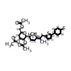 C=C(/C=C\C(C)=C(/C)Cc1ccc(-c2ccc(F)cc2)s1)[C@@H]1O[C@H](COC(C)=O)C[C@H](OC(C)=O)[C@H]1OC(C)=O